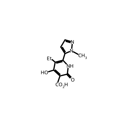 CCc1c(-c2ccnn2C)[nH]c(=O)c(C(=O)O)c1O